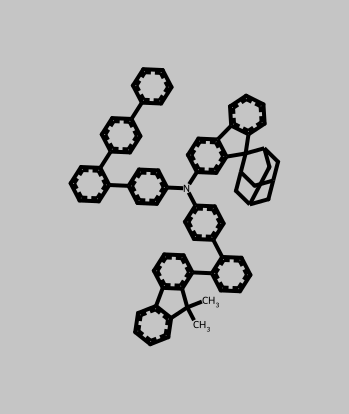 CC1(C)c2ccccc2-c2cccc(-c3ccccc3-c3ccc(N(c4ccc(-c5ccccc5-c5ccc(-c6ccccc6)cc5)cc4)c4ccc5c(c4)C4(c6ccccc6-5)C5CC6CC(C5)CC4C6)cc3)c21